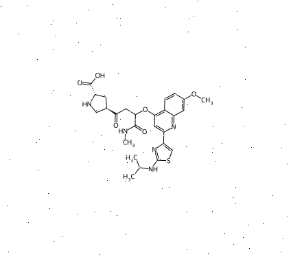 CNC(=O)C(CC(=O)[C@H]1CN[C@H](C(=O)O)C1)Oc1cc(-c2csc(NC(C)C)n2)nc2cc(OC)ccc12